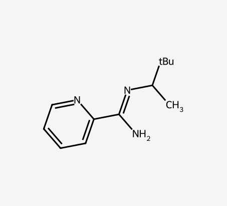 CC(N=C(N)c1ccccn1)C(C)(C)C